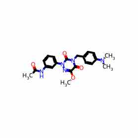 COc1nn(-c2cccc(NC(C)=O)c2)c(=O)n(Cc2ccc(N(C)C)cc2)c1=O